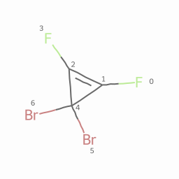 FC1=C(F)C1(Br)Br